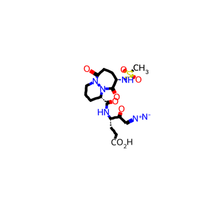 CS(=O)(=O)N[C@H]1CCC(=O)N2CCC[C@@H](C(=O)N[C@@H](CCC(=O)O)C(=O)C=[N+]=[N-])N2C1=O